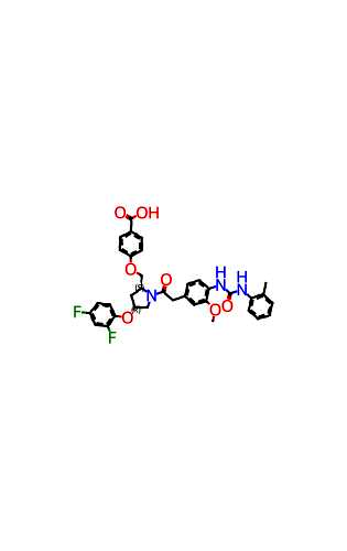 COc1cc(CC(=O)N2C[C@H](Oc3ccc(F)cc3F)C[C@H]2COc2ccc(C(=O)O)cc2)ccc1NC(=O)Nc1ccccc1C